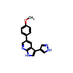 COc1ccc(-c2cnc3[nH]cc(-c4cn[nH]c4)c3c2)cc1